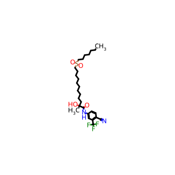 CCCCCCCS(=O)(=O)CCCCCCCCCCC(C)(O)C(=O)Nc1ccc(C#N)c(C(F)(F)F)c1